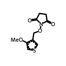 COc1cscc1CON1C(=O)CCC1=O